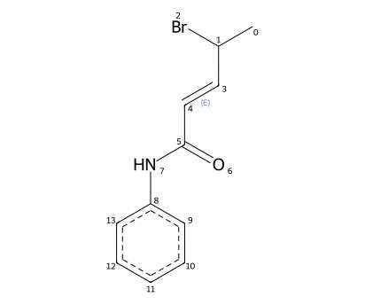 CC(Br)/C=C/C(=O)Nc1ccccc1